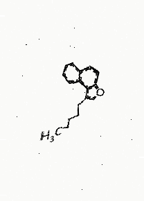 CCCCCc1coc2ccc3ccccc3c12